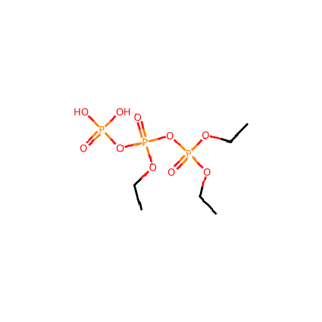 CCOP(=O)(OCC)OP(=O)(OCC)OP(=O)(O)O